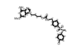 CSc1nc(N)c2ncn(CCCCOC(=O)NCc3ccc(S(=O)(=O)N(C)c4ccc(Cl)cc4)cc3)c2n1